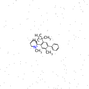 Cc1cc(-c2cccc[n+]2C)c(C(C)(C)C)cc1-c1ccccc1